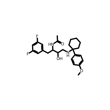 COc1ccc(C2(NCC(O)C(Cc3cc(F)cc(F)c3)NC(C)=O)CCCCC2)cc1